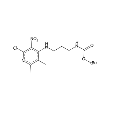 Cc1nc(Cl)c([N+](=O)[O-])c(NCCCNC(=O)OC(C)(C)C)c1C